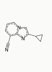 N#Cc1cccn2cc(C3CC3)nc12